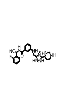 CN1C(CNc2cccc(C(=O)N[C@H](C#N)c3ccccc3F)c2)NNC1C1CCNCN1